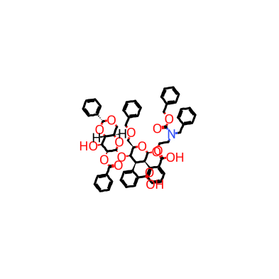 O=C(O[C@H]1[C@@H](O[C@@H]2[C@H](c3ccccc3C(=O)O)[C@H](c3ccccc3C(=O)O)[C@H](OCCN(Cc3ccccc3)C(=O)OCc3ccccc3)O[C@@H]2COCc2ccccc2)O[C@@H]2CO[C@@H](c3ccccc3)O[C@H]2[C@@H]1O)c1ccccc1